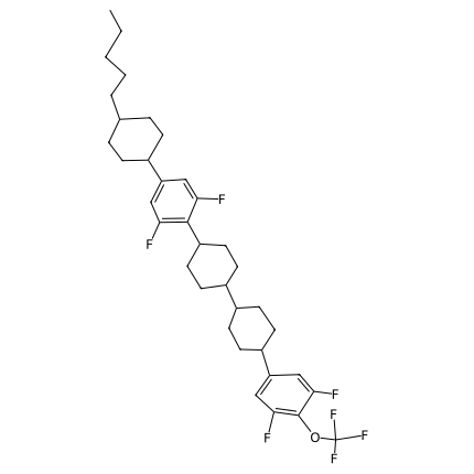 CCCCCC1CCC(c2cc(F)c(C3CCC(C4CCC(c5cc(F)c(OC(F)(F)F)c(F)c5)CC4)CC3)c(F)c2)CC1